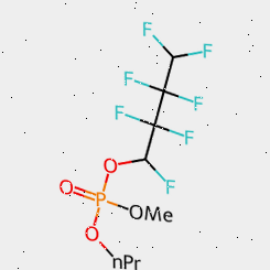 CCCOP(=O)(OC)OC(F)C(F)(F)C(F)(F)C(F)F